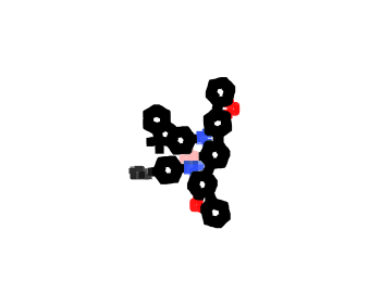 CC(C)(C)c1ccc(Nc2cc3oc4ccccc4c3cc2-c2ccc3c4cc5oc6ccccc6c5cc4n4c3c2Bc2cc3c(cc2-4)-c2ccccc2C3(C)C)cc1